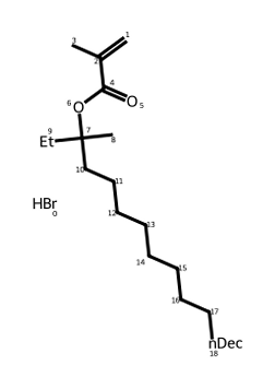 Br.C=C(C)C(=O)OC(C)(CC)CCCCCCCCCCCCCCCCCC